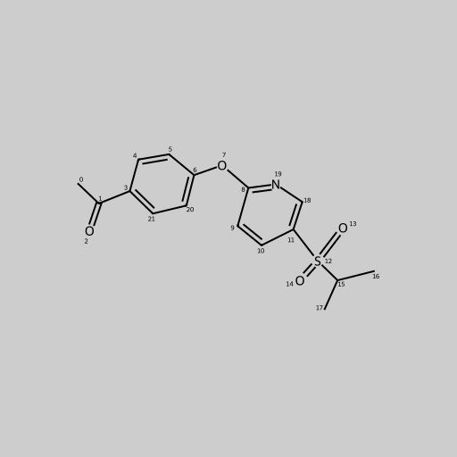 CC(=O)c1ccc(Oc2ccc(S(=O)(=O)C(C)C)cn2)cc1